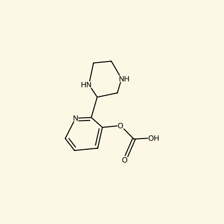 O=C(O)Oc1cccnc1C1CNCCN1